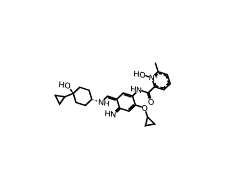 Cc1cccc(C(=O)NC2=C/C(=C/N[C@H]3CC[C@@](O)(C4CC4)CC3)C(=N)C=C2OC2CC2)[n+]1O